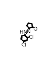 O=C1CCC/C1=N\Nc1ccc(Cl)cc1Cl